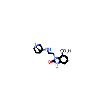 O=C(O)c1cccc2[nH]c(=O)n(CCNC3CN4CCC3CC4)c12